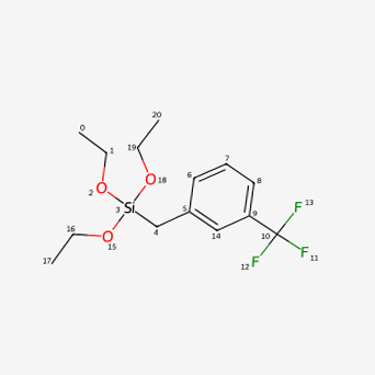 CCO[Si](Cc1cccc(C(F)(F)F)c1)(OCC)OCC